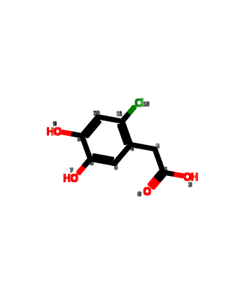 O=C(O)Cc1cc(O)c(O)cc1Cl